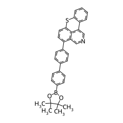 CC1(C)OB(c2ccc(-c3ccc(-c4ccc5c6c(cncc46)-c4ccccc4S5)cc3)cc2)OC1(C)C